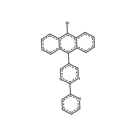 Brc1c2ccccc2c(-c2cnc(-c3ccccn3)nc2)c2ccccc12